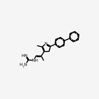 CC1=C(/C(C)=C/NC(=N)N)CC(c2ccc(-c3ccccc3)cc2)=N1